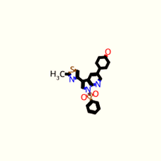 Cc1nc(-c2cn(S(=O)(=O)c3ccccc3)c3ncc(C4CCC(=O)CC4)cc23)cs1